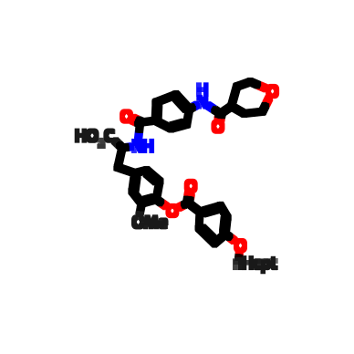 CCCCCCCOc1ccc(C(=O)Oc2ccc(CC(NC(=O)c3ccc(NC(=O)C4CCOCC4)cc3)C(=O)O)cc2OC)cc1